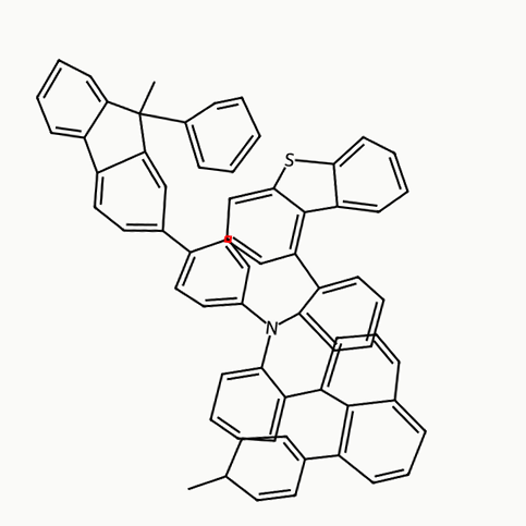 CC1C=CC(c2cccc3cccc(-c4ccccc4N(c4ccc(-c5ccc6c(c5)C(C)(c5ccccc5)c5ccccc5-6)cc4)c4ccccc4-c4cccc5sc6ccccc6c45)c23)=CC1